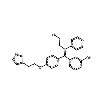 Oc1cccc(/C(=C(/CCCl)c2ccccc2)c2ccc(OCCn3ccnc3)cc2)c1